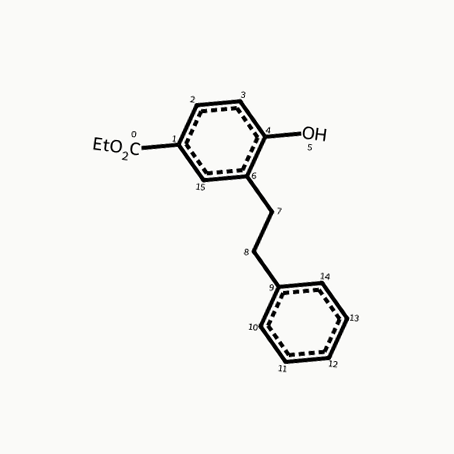 CCOC(=O)c1ccc(O)c(CCc2ccccc2)c1